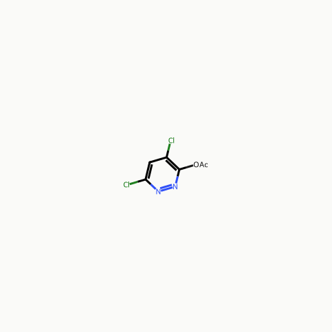 CC(=O)Oc1nnc(Cl)cc1Cl